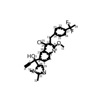 C#CC(O)(c1ccc2nc(OC)c(Cc3ccc(C(C)(F)F)cc3)c(Cl)c2c1)c1cnc(C)n1C